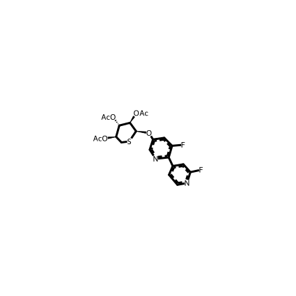 CC(=O)O[C@@H]1[C@@H](OC(C)=O)[C@@H](Oc2cnc(-c3ccnc(F)c3)c(F)c2)SC[C@H]1OC(C)=O